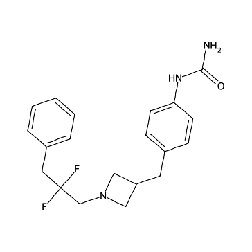 NC(=O)Nc1ccc(CC2CN(CC(F)(F)Cc3ccccc3)C2)cc1